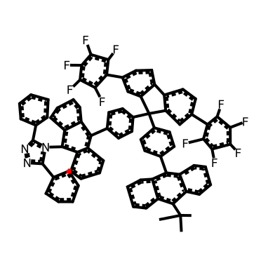 CC(C)(C)c1c2ccccc2c(-c2ccc(C3(c4ccc(-c5c6ccccc6c(-n6c(-c7ccccc7)nnc6-c6ccccc6)c6ccccc56)cc4)c4cc(-c5c(F)c(F)c(F)c(F)c5F)ccc4-c4ccc(-c5c(F)c(F)c(F)c(F)c5F)cc43)cc2)c2ccccc12